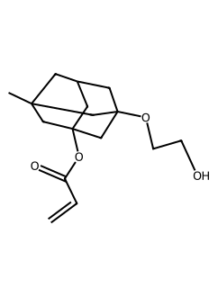 C=CC(=O)OC12CC3CC(C)(CC(OCCO)(C3)C1)C2